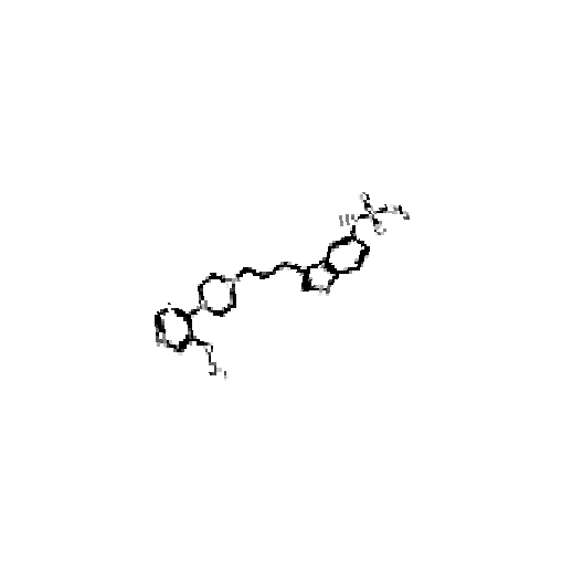 COc1cncnc1N1CCN(CCCc2c[nH]c3ccc(NS(C)(=O)=O)cc23)CC1